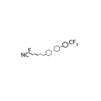 N#C/C(F)=C/C=C/CCC1CCC([C@H]2CC[C@H](c3ccc(C(F)(F)F)cc3)CC2)CC1